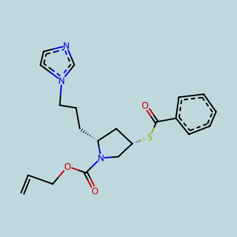 C=CCOC(=O)N1C[C@@H](SC(=O)c2ccccc2)C[C@H]1CCCn1ccnc1